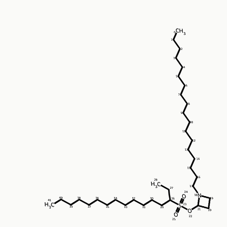 CCCCCCCCCCCCCCCCCCN1CCC1OS(=O)(=O)C(CC)CCCCCCCCCCCCC